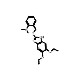 CCOc1cc2nc(SCc3ccccc3N(C)C)[nH]c2cc1OCC